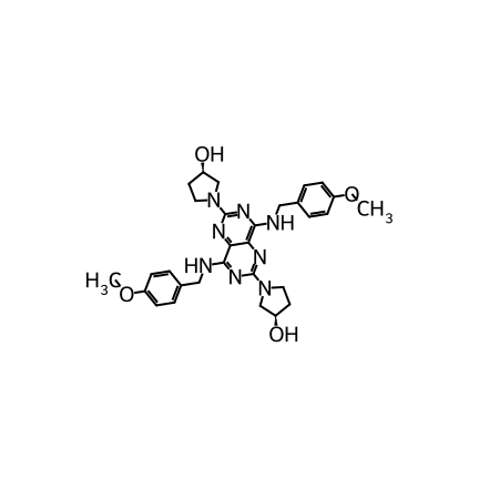 COc1ccc(CNc2nc(N3CC[C@@H](O)C3)nc3c(NCc4ccc(OC)cc4)nc(N4CC[C@@H](O)C4)nc23)cc1